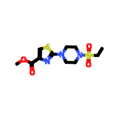 CCS(=O)(=O)N1CCN(c2nc(C(=O)OC)cs2)CC1